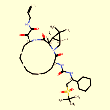 C=CCNC(=O)C(=O)[C@@H]1CCCCCCCCC[C@H](NC(=O)N[C@H](CS(=O)(=O)C(C)(C)C)C2CCCCC2)C(=O)N2C[C@H]3[C@@H]([C@H]2C(=O)N1)C3(C)C